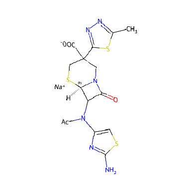 CC(=O)N(c1csc(N)n1)C1C(=O)N2CC(C(=O)[O-])(c3nnc(C)s3)CS[C@H]12.[Na+]